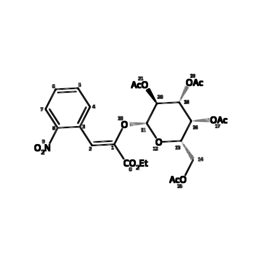 CCOC(=O)/C(=C/c1ccccc1[N+](=O)[O-])O[C@H]1O[C@@H](COC(C)=O)[C@@H](OC(C)=O)[C@@H](OC(C)=O)[C@@H]1OC(C)=O